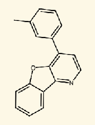 Cc1cccc(-c2ccnc3c2oc2ccccc23)c1